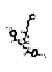 Nc1ccc(C(=O)NCN(CNC(=O)c2ccc(N)cc2)C(=O)CNC(=O)CCCCC2CCSS2)cc1